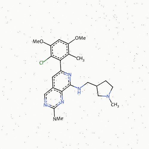 CNc1ncc2cc(-c3c(C)c(OC)cc(OC)c3Cl)nc(NCC3CCN(C)C3)c2n1